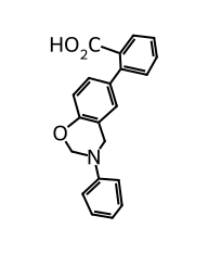 O=C(O)c1ccccc1-c1ccc2c(c1)CN(c1ccccc1)CO2